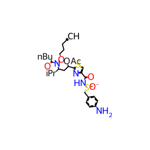 C#CCCCON(C(=O)CCCC)C(CC(OC(C)=O)c1nc(C(=O)N[S+]([O-])Cc2ccc(N)cc2)cs1)C(C)C